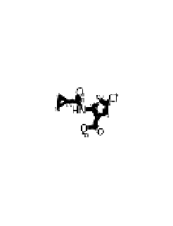 COC(=O)c1cc(Cl)sc1NC(=O)C1CC1